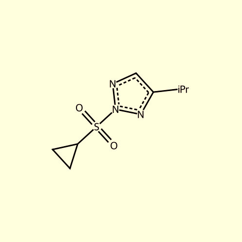 CC(C)c1cnn(S(=O)(=O)C2CC2)n1